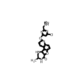 CC1CNc2c(oc3ccc4nc(Oc5cc(Cl)nc(CNC(C)(C)C)n5)ccc4c23)C(=O)N1